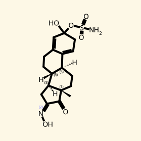 C[C@]12CC[C@@H]3C4=CCC(O)(OS(N)(=O)=O)C=C4CC[C@H]3[C@@H]1C/C(=N/O)C2=O